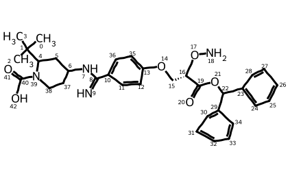 CC(C)(C)C1CC(NC(=N)c2ccc(OC[C@H](ON)C(=O)OC(c3ccccc3)c3ccccc3)cc2)CCN1C(=O)O